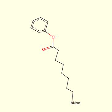 CCCCCCCCCCCCCCCCC(=O)Oc1cc[c]cc1